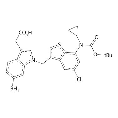 Bc1ccc2c(CC(=O)O)cn(Cc3csc4c(N(C(=O)OC(C)(C)C)C5CC5)cc(Cl)cc34)c2c1